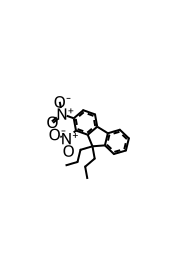 CCCC1(CCC)c2ccccc2-c2ccc([N+](=O)[O-])c([N+](=O)[O-])c21